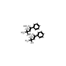 CCC(C)(C)C=C(C(=O)O)c1ccccc1.CCC(C)(C)C=C(C(=O)O)c1ccccc1